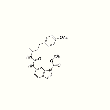 CC(=O)Oc1ccc(CCC(C)NC(=O)Nc2ccc3ccn(C(=O)OC(C)(C)C)c3c2)cc1